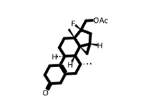 CC(=O)OC[C@]1(F)C[C@@H]2C[C@]23[C@@H]2[C@H](C)CC4=C(CCC(=O)C4)[C@H]2CC[C@]13C